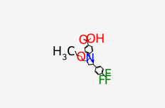 CCCOC[C@@H]1CC(c2ccc(C(F)(F)F)cc2)CN1c1ccc(C(=O)O)cc1